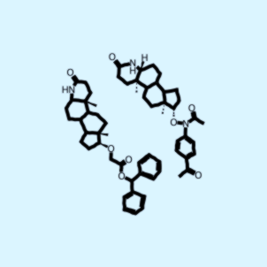 CC(=O)c1ccc(N(O[C@H]2CCC3C4CC[C@H]5NC(=O)CC[C@]5(C)C4CC[C@@]32C)C(C)=O)cc1.C[C@]12CCC(=O)NC1CCC1C2CC[C@@]2(C)C1CC[C@@H]2OCC(=O)OC(c1ccccc1)c1ccccc1